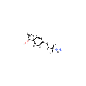 CNC(=O)c1ccc(CCC(C)(C)N)cc1